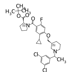 CC(c1cc(Cl)cc(Cl)c1)N1CCC[C@H](COc2cc(F)c(C(=O)N3CCC[C@H]3C(=O)OC(C)(C)C)cc2C2CC2)C1